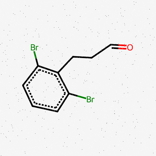 O=CCCc1c(Br)cccc1Br